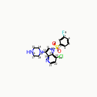 O=S(=O)(c1cccc(F)c1)n1cc(N2CCNCC2)c2nccc(Cl)c21